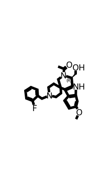 COc1ccc2c3c([nH]c2c1)[C@H](CO)N(C(C)=O)CC31CCN(Cc2ccccc2F)CC1